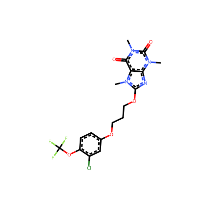 Cn1c(=O)c2c(nc(OCCCOc3ccc(OC(F)(F)F)c(Cl)c3)n2C)n(C)c1=O